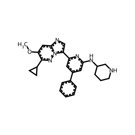 COc1cc2ncc(-c3cc(-c4ccccc4)cc(NC4CCCNC4)n3)n2nc1C1CC1